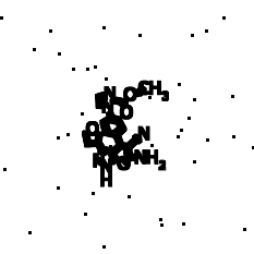 CCOC(=O)c1nccn1-c1ccc(C2C(C#N)=C(N)Oc3[nH]nc(C4CCOC4)c32)cc1